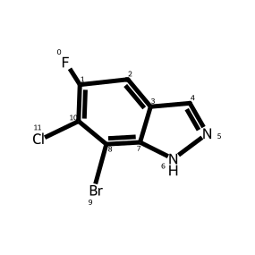 Fc1cc2cn[nH]c2c(Br)c1Cl